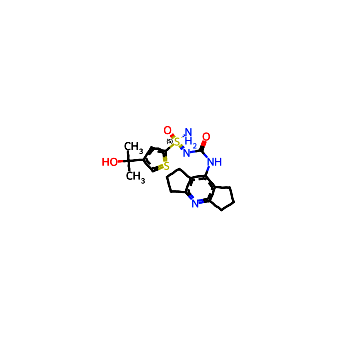 CC(C)(O)c1csc([S@@](N)(=O)=NC(=O)Nc2c3c(nc4c2CCC4)CCC3)c1